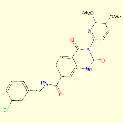 COC1C=CC(n2c(=O)[nH]c3c(c2=O)=CCC(C(=O)NCc2cccc(Cl)c2)C=3)=NC1OC